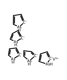 [C-]1=CC=C[AsH]1.[C-]1=CC=C[AsH]1.[C-]1=CC=C[AsH]1.[C-]1=CC=C[AsH]1.[C-]1=CC=C[AsH]1.[V+5]